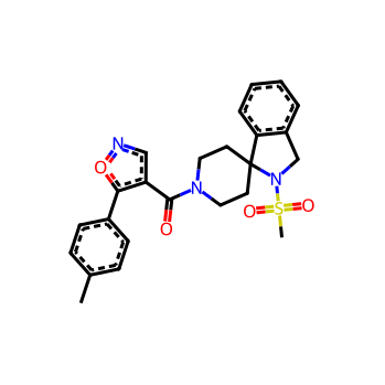 Cc1ccc(-c2oncc2C(=O)N2CCC3(CC2)c2ccccc2CN3S(C)(=O)=O)cc1